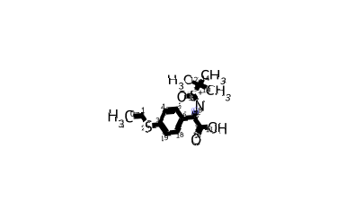 CCSc1ccc(/C(=N\[S+]([O-])C(C)(C)C)C(=O)O)cc1